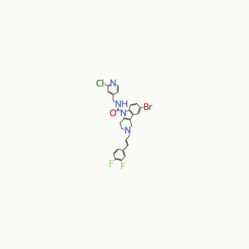 O=C(NCc1ccnc(Cl)c1)n1c2c(c3cc(Br)ccc31)CN(C/C=C/c1ccc(F)c(F)c1)CC2